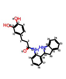 O=C(CCc1ccc(O)c(O)c1)Nc1ccccc1C1Cc2ccccc2N1